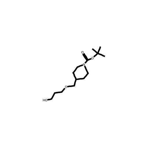 CC(C)(C)OC(=O)N1CCC(COCCCO)CC1